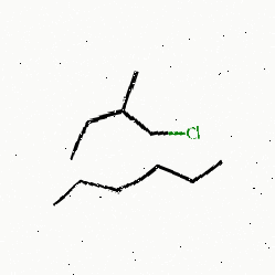 CCC(C)CCl.CCCCCC